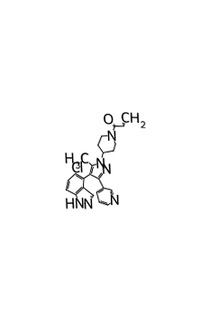 C=CC(=O)N1CCC(n2nc(-c3cccnc3)c(-c3c(Cl)ccc4[nH]ncc34)c2C)CC1